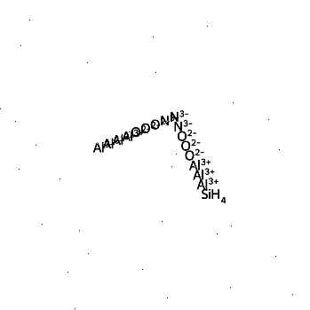 [Al+3].[Al+3].[Al+3].[Al+3].[Al+3].[Al+3].[Al+3].[N-3].[N-3].[N-3].[O-2].[O-2].[O-2].[O-2].[O-2].[O-2].[SiH4]